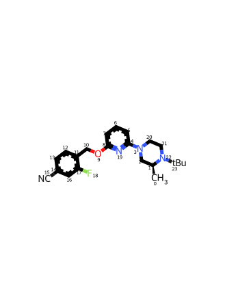 C[C@H]1CN(c2cccc(OCc3ccc(C#N)cc3F)n2)CCN1C(C)(C)C